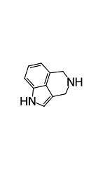 c1cc2c3c(c[nH]c3c1)CNC2